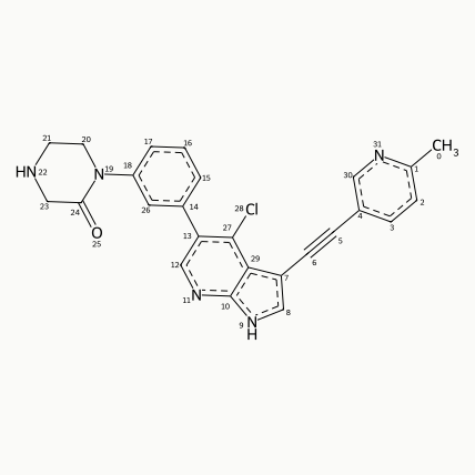 Cc1ccc(C#Cc2c[nH]c3ncc(-c4cccc(N5CCNCC5=O)c4)c(Cl)c23)cn1